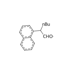 CCCCC([C]=O)c1cccc2ccccc12